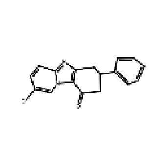 O=C1CC(c2ccccc2)Cc2nc3ccc(Cl)cn3c21